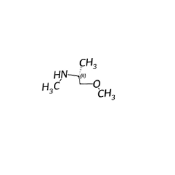 CN[C@H](C)COC